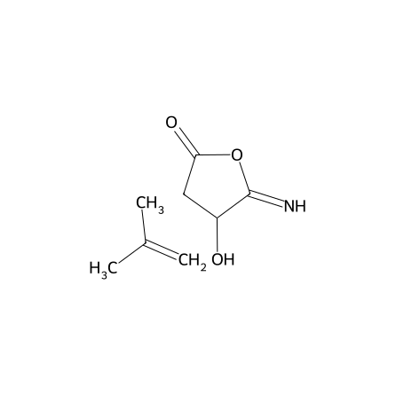 C=C(C)C.N=C1OC(=O)CC1O